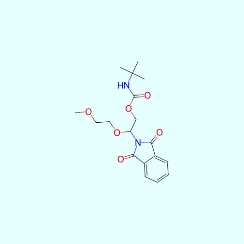 COCCOC(COC(=O)NC(C)(C)C)N1C(=O)c2ccccc2C1=O